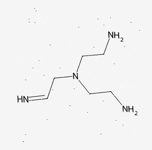 N=CCN(CCN)CCN